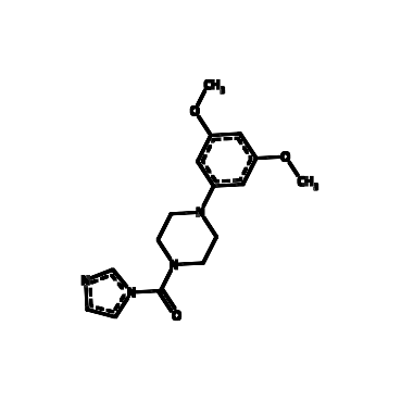 COc1cc(OC)cc(N2CCN(C(=O)n3ccnc3)CC2)c1